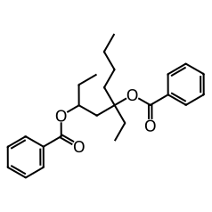 CCCCC(CC)(CC(CC)OC(=O)c1ccccc1)OC(=O)c1ccccc1